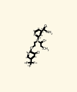 CCC(=O)N(CCOc1ncc(C(F)(F)F)cc1Cl)c1cc(C(N)=O)ccn1